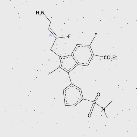 CCOC(=O)c1cc2c(-c3cccc(S(=O)(=O)N(C)C)c3)c(C)n(C/C(F)=C/CN)c2cc1F